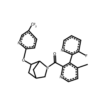 Cc1ccnc(C(=O)N2CC3CC(Oc4ccc(C(F)(F)F)cn4)C2C3)c1-c1ncccc1F